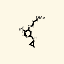 COCCCOc1cc(NC2CC2)ncc1C(C)C